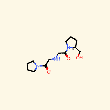 O=C(CNCC(=O)N1CCC[C@H]1CO)N1CCCC1